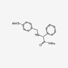 COC(=O)C(NCc1ccc(OC)cc1)c1ccccc1